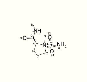 CNC(=O)[C@@H]1CCC[N+]1(C)S(N)(=O)=O